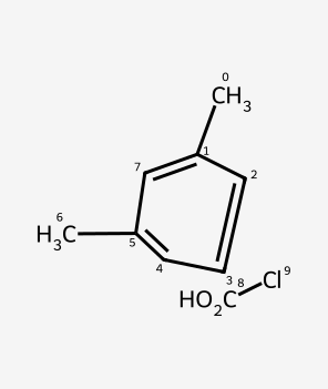 Cc1cccc(C)c1.O=C(O)Cl